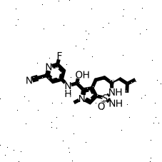 CC(C)C[C@@H]1CCc2c(cn(C)c2C(O)Nc2cc(F)nc(C#N)c2)S(=N)(=O)N1